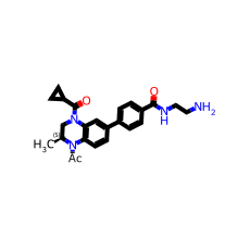 CC(=O)N1c2ccc(-c3ccc(C(=O)NCCN)cc3)cc2N(C(=O)C2CC2)C[C@@H]1C